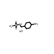 Cl.NC1CCC(CNS(N)(=O)=O)CC1